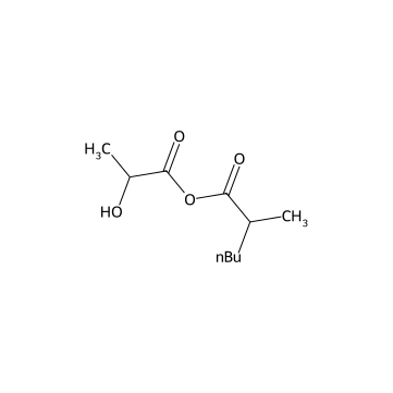 CCCCC(C)C(=O)OC(=O)C(C)O